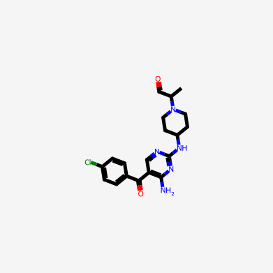 CC(C=O)N1CCC(Nc2ncc(C(=O)c3ccc(Cl)cc3)c(N)n2)CC1